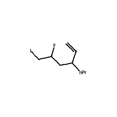 C=CC(CCC)CC(F)CI